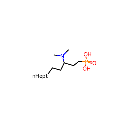 CCCCCCCCCC(CCP(=O)(O)O)N(C)C